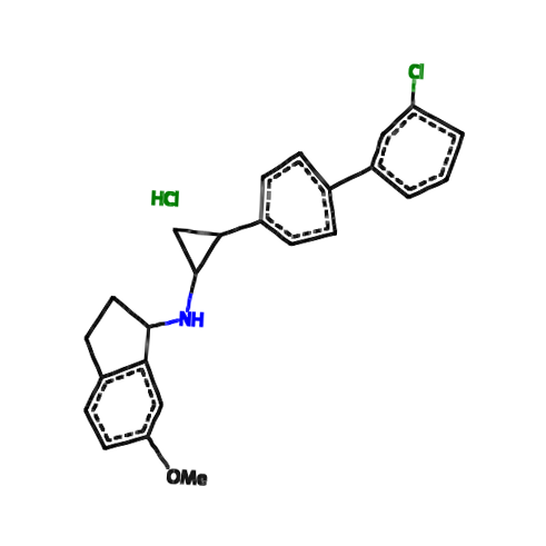 COc1ccc2c(c1)C(NC1CC1c1ccc(-c3cccc(Cl)c3)cc1)CC2.Cl